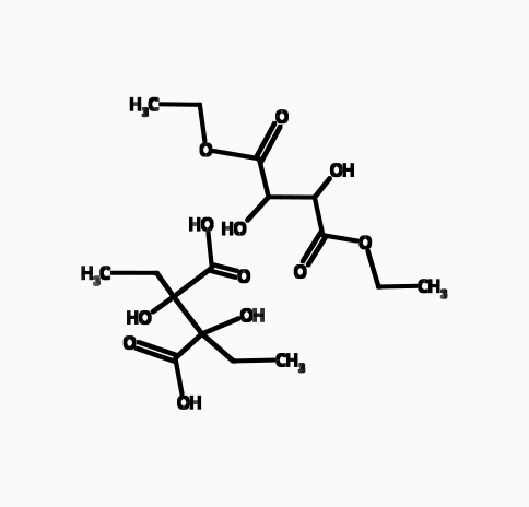 CCC(O)(C(=O)O)C(O)(CC)C(=O)O.CCOC(=O)C(O)C(O)C(=O)OCC